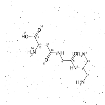 NCC(CN)NC(=O)CNC(=O)CC(N)C(=O)O